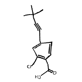 CC(C)(C)C#Cc1ccc(C(=O)O)c(Cl)c1